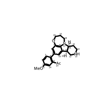 COc1ccc(-c2cc3c4c(c2)[C@@H]2CNCC[C@@H]2N4CCCO3)c(C(C)=O)c1